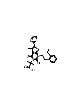 CCc1ccccc1CCn1c(=O)n(C(C)(C)C(=O)O)c(=O)c2c(C)c(-c3ncco3)sc21